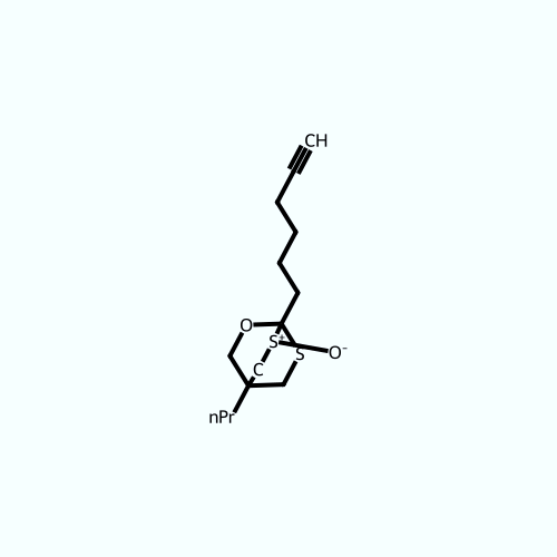 C#CCCCCC12OCC(CCC)(CS1)C[S+]2[O-]